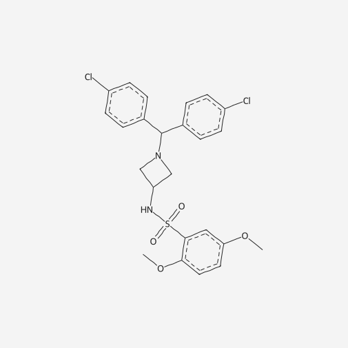 COc1ccc(OC)c(S(=O)(=O)NC2CN(C(c3ccc(Cl)cc3)c3ccc(Cl)cc3)C2)c1